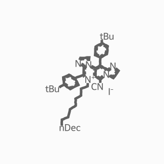 CCCCCCCCCCCCCCCCCC[n+]1c(-c2ccc(C(C)(C)C)cc2)c2nccn2c2c(-c3ccc(C(C)(C)C)cc3)c3nccn3c(C#N)c21.[I-]